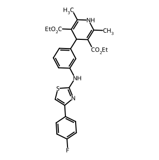 CCOC(=O)C1=C(C)NC(C)=C(C(=O)OCC)C1c1cccc(Nc2nc(-c3ccc(F)cc3)cs2)c1